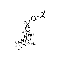 C=C(CCc1ccc(CCC(=O)N2CCC3(CC2)CN/C(=N\C(=O)c2nc(Cl)c(N)nc2N)N3)cc1)OCC